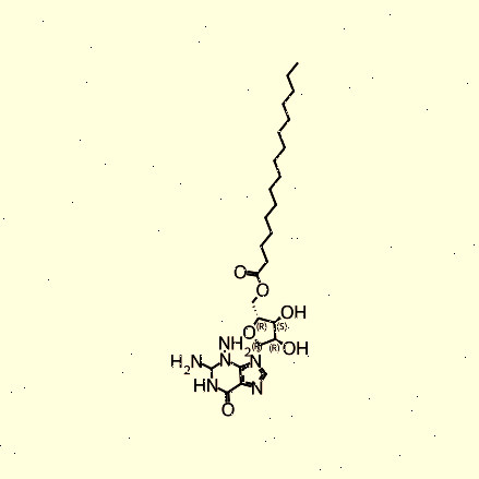 CCCCCCCCCCCCCCCC(=O)OC[C@H]1O[C@@H](n2cnc3c2N(N)C(N)NC3=O)[C@H](O)[C@@H]1O